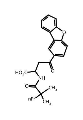 CCCC(C)(C)C(=O)NC(CC(=O)c1ccc2oc3ccccc3c2c1)C(=O)O